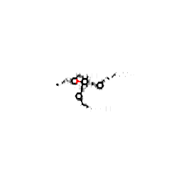 CNCCOOSc1cccc(N=Nc2c(N)c(/N=N\c3cccc(S(=O)(=O)CCOS(=O)(=O)O)c3)c(N)c(N=Nc3cccc(S(=O)(=O)CCOS(=O)(=O)O)c3)c2C(=O)O)c1